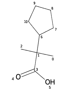 CC(C)(C(=O)O)C1CCCC1